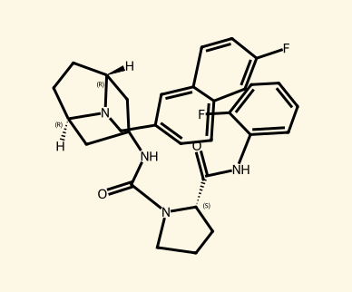 O=C(Nc1ccccc1F)[C@@H]1CCCN1C(=O)NC1C[C@H]2CC[C@H](C1)N2Cc1ccc2cc(F)ccc2c1